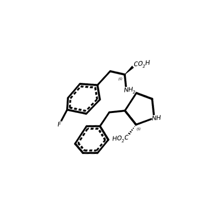 N[C@@H](Cc1ccc(F)cc1)C(=O)O.O=C(O)[C@H]1NCCC1Cc1ccccc1